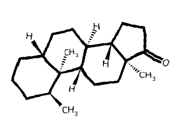 C[C@H]1CCC[C@@H]2CC[C@@H]3[C@H](CC[C@]4(C)C(=O)CC[C@@H]34)[C@]21C